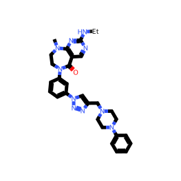 CCNc1ncc2c(n1)N(C)CCN(c1cccc(-n3cc(CN4CCN(c5ccccc5)CC4)nn3)c1)C2=O